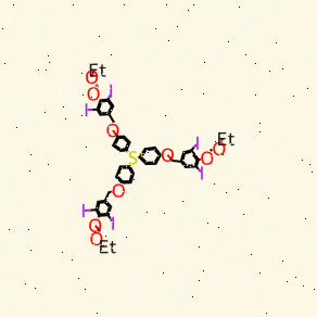 CCOCOc1c(I)cc(COc2ccc([S+](c3ccc(OCc4cc(I)c(OCOCC)c(I)c4)cc3)c3ccc(OCc4cc(I)c(OCOCC)c(I)c4)cc3)cc2)cc1I